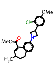 COC(=O)C1=CC(C)CCc2ccc(N3CC(c4ccc(OC)cc4Cl)C3)cc21